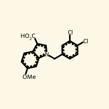 COc1ccc2c(C(=O)O)cn(Cc3ccc(Cl)c(Cl)c3)c2c1